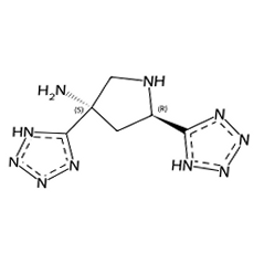 N[C@]1(c2nnn[nH]2)CN[C@@H](c2nnn[nH]2)C1